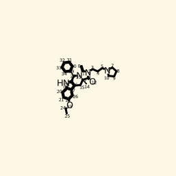 C=C1N(CCCN2CCCC2)C(=O)[C@]2(C)Cc3c([nH]c4ccc(OCC)cc34)[C@@H](c3ccccc3)N12